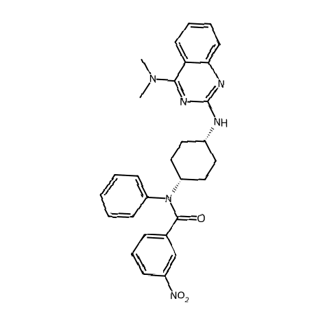 CN(C)c1nc(N[C@H]2CC[C@@H](N(C(=O)c3cccc([N+](=O)[O-])c3)c3ccccc3)CC2)nc2ccccc12